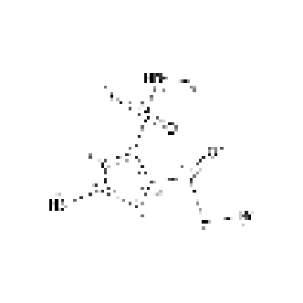 CNS(=O)(=O)c1sc(S)cc1C(=O)CBr